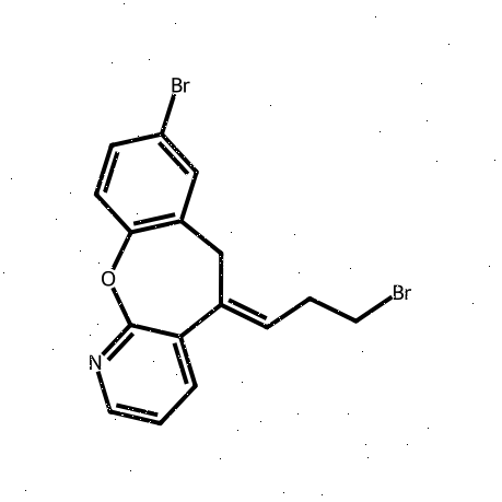 BrCCC=C1Cc2cc(Br)ccc2Oc2ncccc21